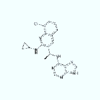 C[C@H](Nc1ncnc2[nH]cnc12)c1cc2cccc(Cl)c2nc1NC1CC1